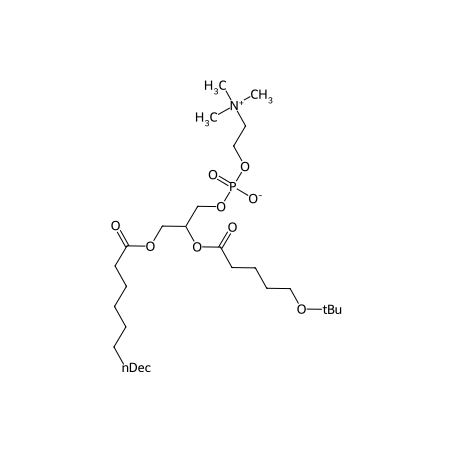 CCCCCCCCCCCCCCCC(=O)OCC(COP(=O)([O-])OCC[N+](C)(C)C)OC(=O)CCCCOC(C)(C)C